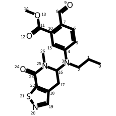 CCCN(c1ccc(C=O)c(C(=O)OC)c1)C1Cc2cnsc2C(=O)N1C